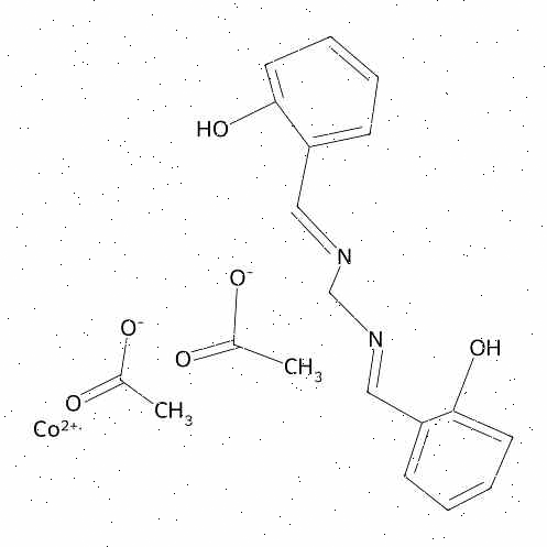 CC(=O)[O-].CC(=O)[O-].Oc1ccccc1C=NCN=Cc1ccccc1O.[Co+2]